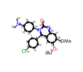 CCC(C)Oc1cc2c(-c3ccc(Cl)cc3)n(-c3ccc(N(C)C)cc3)c(=O)nc2cc1OC